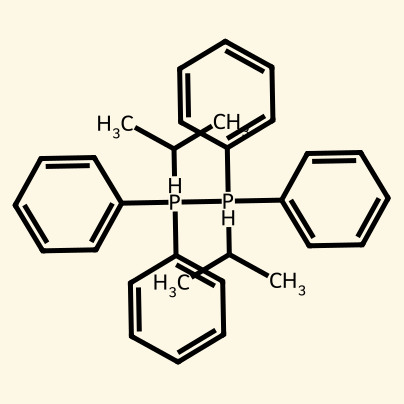 CC(C)[PH](c1ccccc1)(c1ccccc1)[PH](c1ccccc1)(c1ccccc1)C(C)C